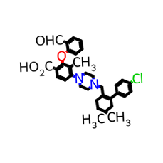 Cc1c(N2CCN(CC3=C(c4ccc(Cl)cc4)CC(C)(C)CC3)CC2)ccc(C(=O)O)c1Oc1ccccc1C=O